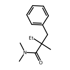 CCC(C)(Cc1ccccc1)C(=O)N(C)C